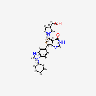 O=c1[nH]cnc2c(-c3ccc4c(c3)ncn4C3CCCCC3)sc(N3CCC(CO)C3)c12